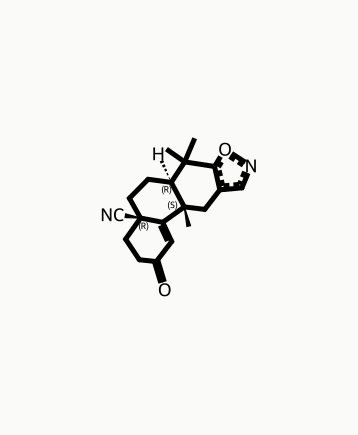 CC1(C)c2oncc2C[C@]2(C)C3=CC(=O)CC[C@]3(C#N)CC[C@@H]12